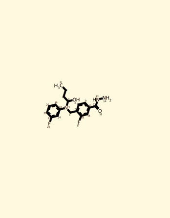 CCCC(O)N(Cc1ccc(C(=O)NN)cc1F)c1cccc(F)c1